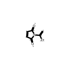 C=C(CC)N1C(=O)C=CC1=O